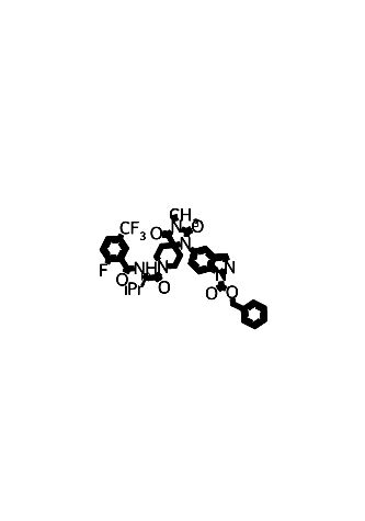 CC(C)[C@@H](NC(=O)c1cc(C(F)(F)F)ccc1F)C(=O)N1CCC2(CC1)C(=O)N(C)C(=O)N2c1ccc2c(cnn2C(=O)OCc2ccccc2)c1